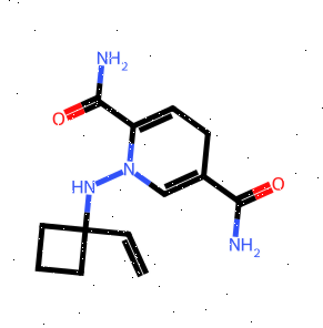 C=CC1(NN2C=C(C(N)=O)CC=C2C(N)=O)CCC1